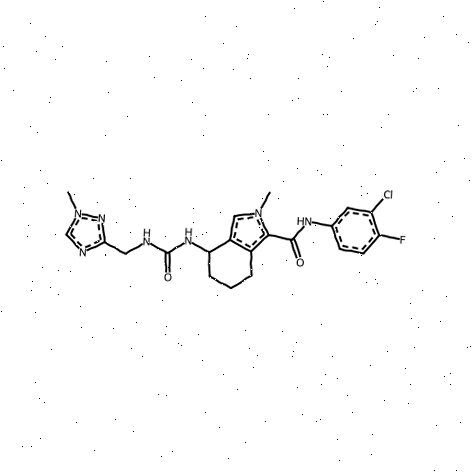 Cn1cnc(CNC(=O)NC2CCCc3c2cn(C)c3C(=O)Nc2ccc(F)c(Cl)c2)n1